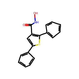 O=C(NO)c1cc(-c2ccccc2)sc1-c1ccccc1